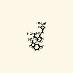 N=S1(=O)CC(CNc2nonc2/C(=N/O)NC2Cc3ccc(F)cc32)C1